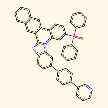 S=P(c1ccccc1)(c1ccccc1)c1ccc2c3cc4ccccc4cc3c3nc4ccc(-c5ccc(-c6cccnc6)cc5)cc4n3c2c1